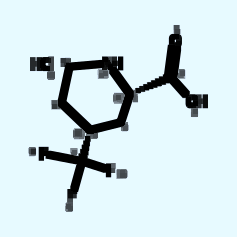 Cl.O=C(O)[C@@H]1C[C@H](C(F)(F)F)CCN1